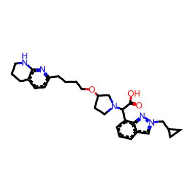 O=C(O)C(c1cccc2cn(CC3CC3)nc12)N1CCC(OCCCCc2ccc3c(n2)NCCC3)C1